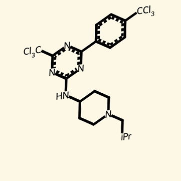 CC(C)CN1CCC(Nc2nc(-c3ccc(C(Cl)(Cl)Cl)cc3)nc(C(Cl)(Cl)Cl)n2)CC1